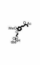 COc1cc(C=CC(=O)C(C)C(C)=O)ccc1OCCOC(=O)NC(C)(C)C